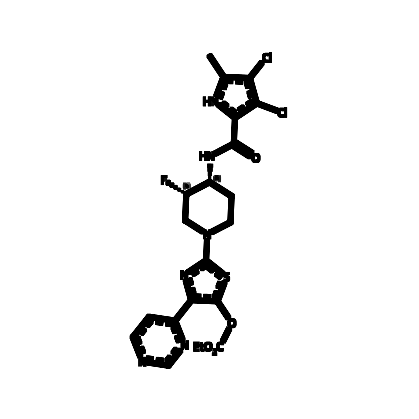 CCOC(=O)Oc1sc(N2CC[C@@H](NC(=O)c3[nH]c(C)c(Cl)c3Cl)[C@@H](F)C2)nc1-c1ccncn1